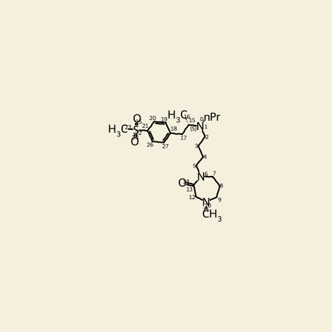 CCCN(CCCCN1CCCN(C)CC1=O)[C@@H](C)Cc1ccc(S(C)(=O)=O)cc1